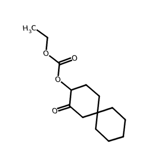 CCOC(=O)OC1CCC2(CCCCC2)CC1=O